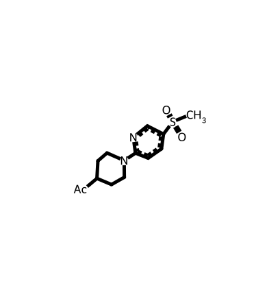 CC(=O)C1CCN(c2ccc(S(C)(=O)=O)cn2)CC1